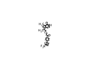 Cc1nn(C(C)COCCC(=O)N2CCN(c3nnc(C(F)(F)F)o3)CC2)c2cn[nH]c(=O)c12